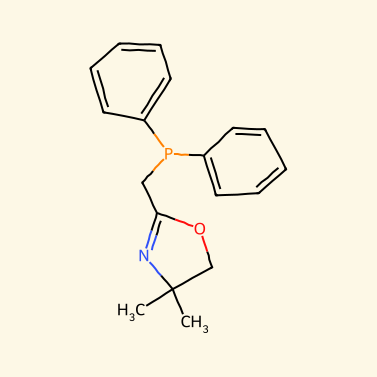 CC1(C)COC(CP(c2ccccc2)c2ccccc2)=N1